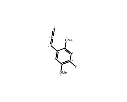 COc1cc(N=[N+]=[N-])c(OC)cc1F